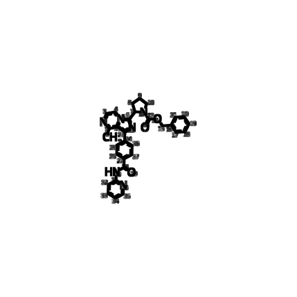 Cc1nccn2c(C3CCCN3C(=O)OCc3ccccc3)nc(-c3ccc(C(=O)Nc4ccccn4)cc3)c12